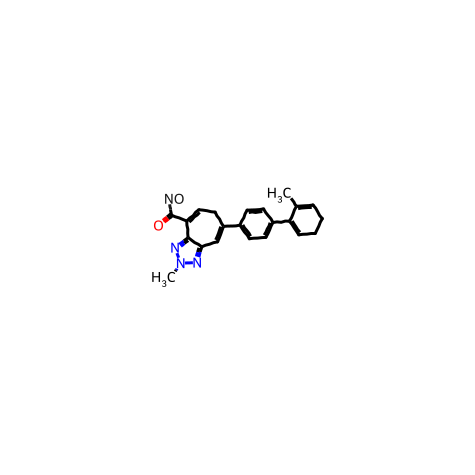 CC1=CCCC=C1c1ccc(C2=Cc3nn(C)nc3C(C(=O)N=O)=CC2)cc1